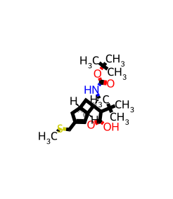 CSCC1=C[C@H]2[C@@H](C1)C[C@@]2(CNC(=O)OC(C)(C)C)C(C(=O)O)C(C)(C)C